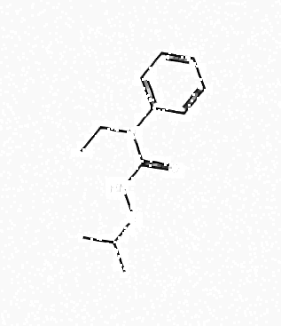 [CH2]CN(C(=O)NSC(C)C)c1ccccc1